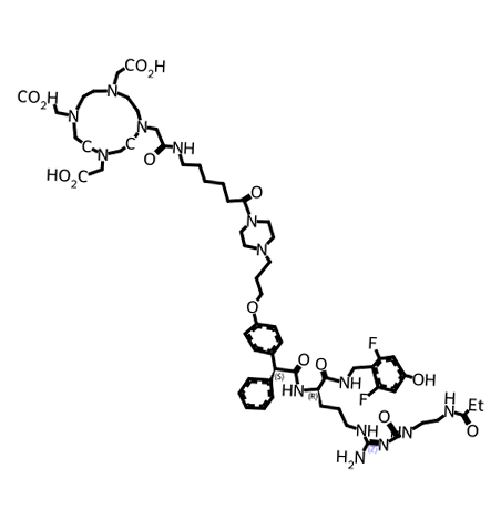 CCC(=O)NCCNC(=O)/N=C(/N)NCCC[C@@H](NC(=O)[C@@H](c1ccccc1)c1ccc(OCCCN2CCN(C(=O)CCCCCNC(=O)CN3CCN(CC(=O)O)CCN(CC(=O)O)CCN(CC(=O)O)CC3)CC2)cc1)C(=O)NCc1c(F)cc(O)cc1F